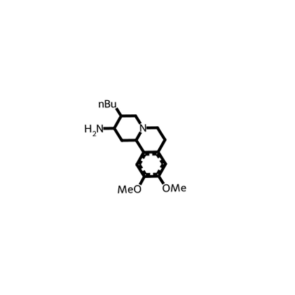 CCCCC1CN2CCc3cc(OC)c(OC)cc3C2CC1N